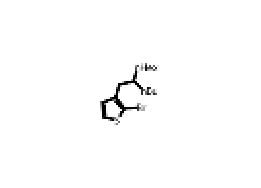 CCCCCCC(CCCC)Cc1ccsc1Br